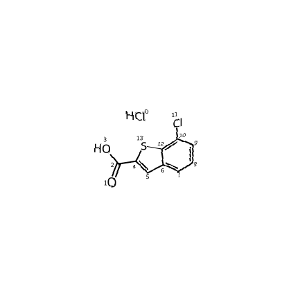 Cl.O=C(O)c1cc2cccc(Cl)c2s1